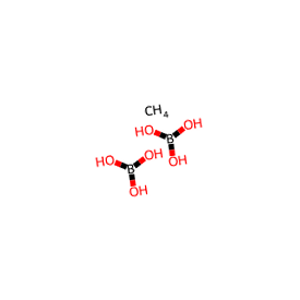 C.OB(O)O.OB(O)O